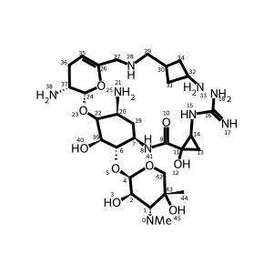 CN[C@@H]1[C@@H](O)[C@@H](O[C@H]2[C@H](NC(=O)C3(O)CC3NC(=N)N)C[C@H](N)C(O[C@H]3OC(CNCC4CC(N)C4)=CC[C@H]3N)[C@@H]2O)OC[C@]1(C)O